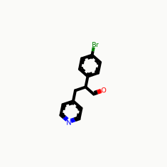 O=CC(Cc1ccncc1)c1ccc(Br)cc1